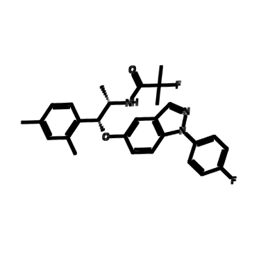 Cc1ccc([C@@H](Oc2ccc3c(cnn3-c3ccc(F)cc3)c2)[C@H](C)NC(=O)C(C)(C)F)c(C)c1